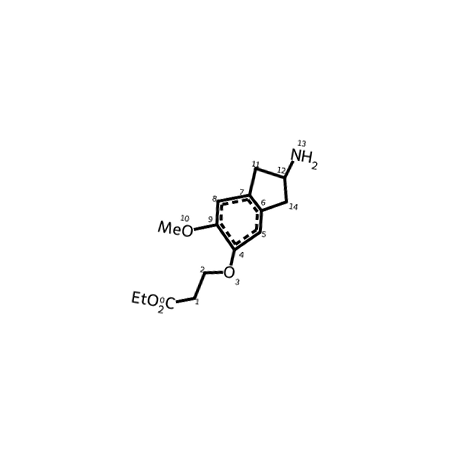 CCOC(=O)CCOc1cc2c(cc1OC)CC(N)C2